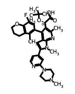 Cc1nc2c(cc(-c3ccnc(N4CCN(C)CC4)c3)n2C)c(-c2cc(F)c3c(c2C)CCCO3)c1[C@H](OC(C)(C)C)C(=O)O